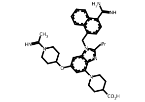 CC(=N)N1CCC(Oc2cc(N3CCC(C(=O)O)CC3)c3nc(C(C)C)n(Cc4ccc(C(=N)N)c5ccccc45)c3c2)CC1